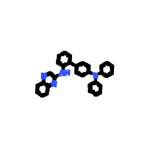 c1ccc(N(c2ccccc2)c2ccc(-c3ccccc3Nc3cnc4ccccc4n3)cc2)cc1